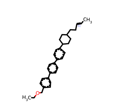 C/C=C/CCC1CCC(c2ccc(-c3ccc(-c4ccc(COCC)cc4)cc3)cc2)CC1